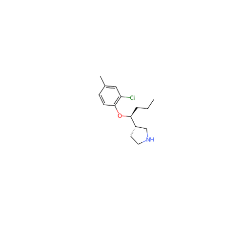 CCC[C@H](Oc1ccc(C)cc1Cl)[C@H]1CCNC1